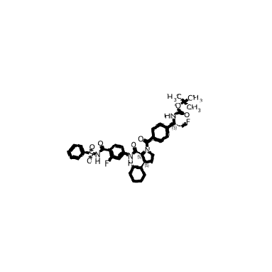 CC(C)(C)OC(=O)N[C@H](CF)C1CCC(C(=O)N2CC[C@@H](C3CCCCC3)[C@H]2C(=O)Nc2ccc(C(=O)NS(=O)(=O)c3ccccc3)c(F)c2)CC1